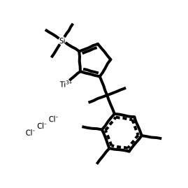 Cc1cc(C)c(C)c(C(C)(C)C2=[C]([Ti+3])C([Si](C)(C)C)=CC2)c1.[Cl-].[Cl-].[Cl-]